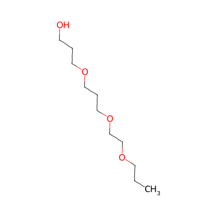 CCCOCCOCCCOCCCO